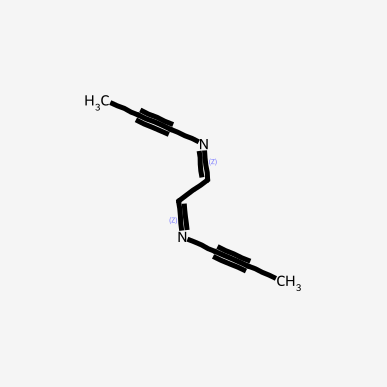 CC#C/N=C\C=N/C#CC